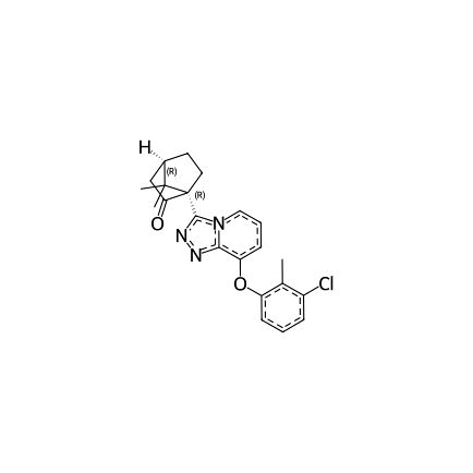 Cc1c(Cl)cccc1Oc1cccn2c([C@]34CC[C@H](CC3=O)C4(C)C)nnc12